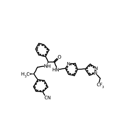 C[C@@H](CN[C@@H](C(=O)Nc1ccc(-c2cnn(CC(F)(F)F)c2)cn1)c1ccccc1)c1ccc(C#N)cc1